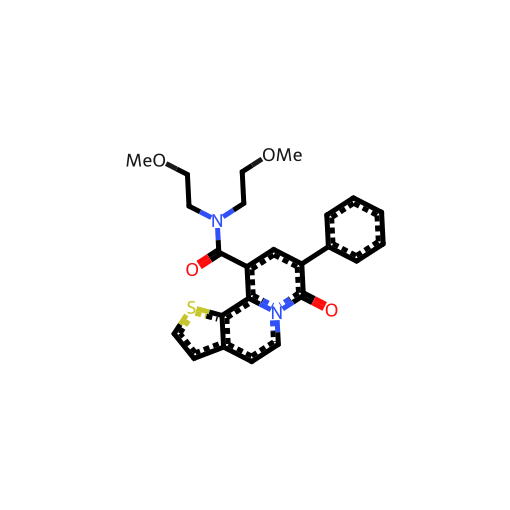 COCCN(CCOC)C(=O)c1cc(-c2ccccc2)c(=O)n2ccc3ccsc3c12